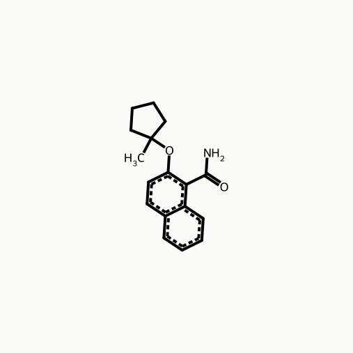 CC1(Oc2ccc3ccccc3c2C(N)=O)CCCC1